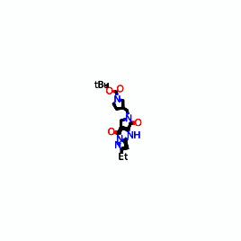 CCc1cc2[nH]c3c(c(=O)n2n1)CN(CC1CCN(C(=O)OC(C)(C)C)C1)C3=O